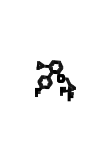 Fc1ccc(-c2c(OCC3CC3(F)F)cccc2C2CC2)cc1